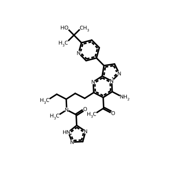 CCC(CCc1nc2c(-c3ccc(C(C)(C)O)nc3)cnn2c(N)c1C(C)=O)N(C)C(=O)c1ncn[nH]1